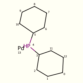 C1CCC(PC2CCCCC2)CC1.[Pd]